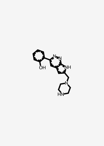 Oc1ccccc1-c1cc2cc(CN3CCNCC3)[nH]c2nn1